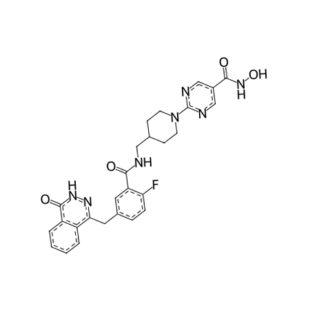 O=C(NO)c1cnc(N2CCC(CNC(=O)c3cc(Cc4n[nH]c(=O)c5ccccc45)ccc3F)CC2)nc1